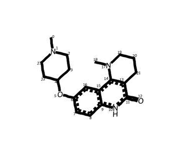 CN1CCC(Oc2ccc3[nH]c(=O)c4c(c3c2)N(C)CCC4)CC1